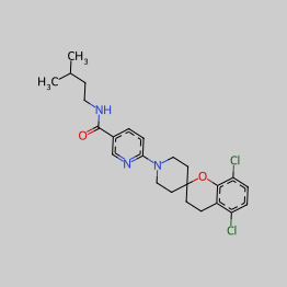 CC(C)CCNC(=O)c1ccc(N2CCC3(CCc4c(Cl)ccc(Cl)c4O3)CC2)nc1